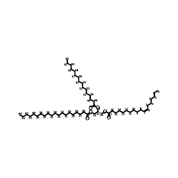 CCCCCC/C=C\CCCCCCCCCC(=O)OC[C@H](COC(=O)CCCCCCCCCCCCCCCCCCC)OC(=O)CCCCCCCCCCCCCCC